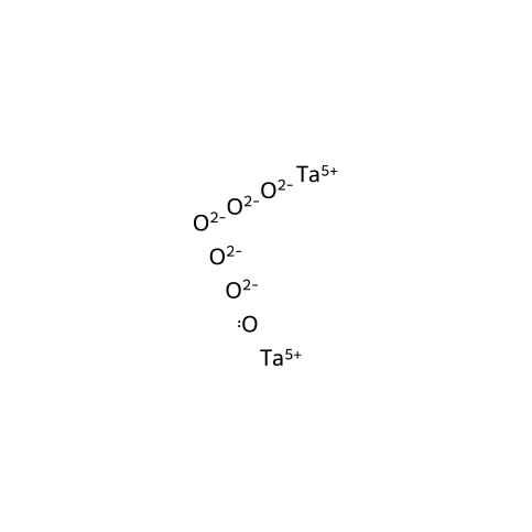 [O-2].[O-2].[O-2].[O-2].[O-2].[O].[Ta+5].[Ta+5]